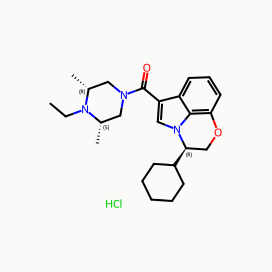 CCN1[C@H](C)CN(C(=O)c2cn3c4c(cccc24)OC[C@H]3C2CCCCC2)C[C@@H]1C.Cl